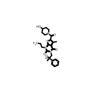 Cc1c(C(=O)N2CCC(O)CC2)sc2c1c(=O)n(CC(C)(O)c1ccccc1)c(=O)n2CCC(F)(F)F